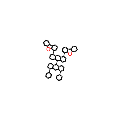 c1ccc(-c2cccc3c(-c4c5cccc(-c6cccc7c6oc6ccccc67)c5cc5c(-c6cccc7c6oc6ccccc67)cccc45)c4cccc(-c5ccccc5)c4cc23)cc1